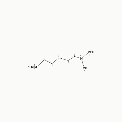 CCCCCCCCCCCCN(CCCC)C(C)=O